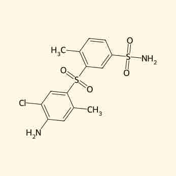 Cc1ccc(S(N)(=O)=O)cc1S(=O)(=O)c1cc(Cl)c(N)cc1C